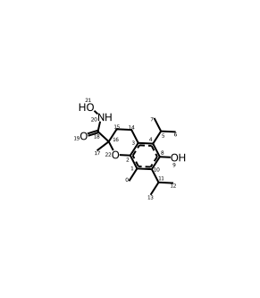 Cc1c2c(c(C(C)C)c(O)c1C(C)C)CCC(C)(C(=O)NO)O2